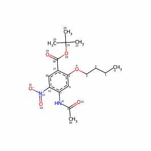 CCCCOc1cc(NC(C)=O)c([N+](=O)[O-])cc1C(=O)OC(C)(C)C